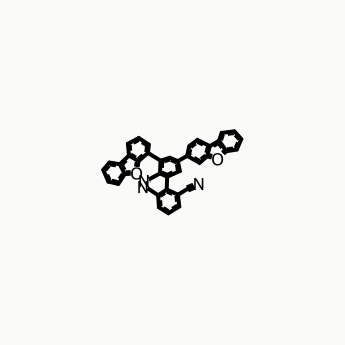 N#Cc1cccc(C#N)c1-c1cc(-c2ccc3c(c2)oc2ccccc23)cc(-c2cccc3c2oc2ccccc23)c1C#N